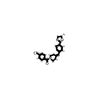 C[C@H]1CN=C(c2ccc(C=C3CCN(C(=O)c4ccc(Cl)cc4)CC3)cc2)O1